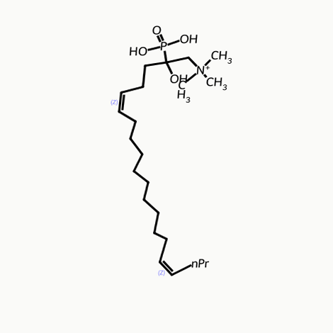 CCC/C=C\CCCCCCCCC/C=C\CCC(O)(C[N+](C)(C)C)P(=O)(O)O